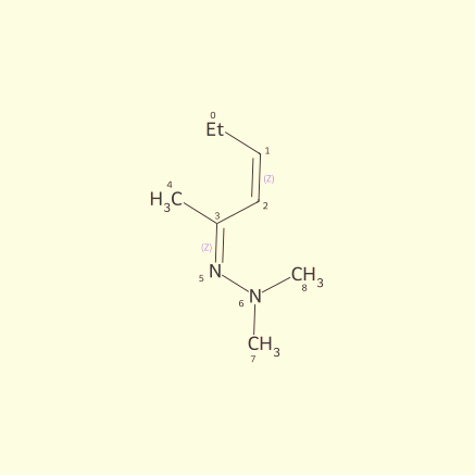 CC/C=C\C(C)=N/N(C)C